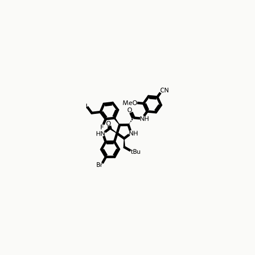 COc1cc(C#N)ccc1NC(=O)[C@@H]1N[C@@H](CC(C)(C)C)[C@@]2(C(=O)Nc3cc(Br)ccc32)[C@H]1c1cccc(CI)c1F